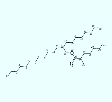 CCCCCCCCCCCCC(CCCCCCCC)COC(=O)C(C)CCCCC